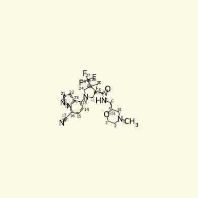 CN1CCO[C@@H](CNC(=O)[C@@]23CN(c4ccc(C#N)n5nccc45)C[C@]2(C(F)(F)F)C3)C1